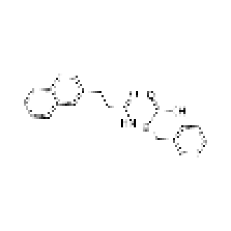 CC(=O)[C@H](Cc1ccccc1)NC(=O)CCc1ccc2ccccc2c1